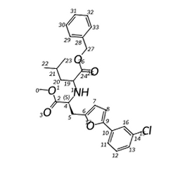 COC(=O)[C@H](Cc1ccc(-c2cccc(Cl)c2)o1)NC(CC(C)C)C(=O)OCc1ccccc1